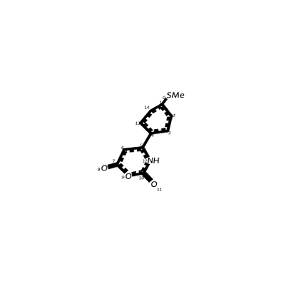 CSc1ccc(-c2cc(=O)oc(=O)[nH]2)cc1